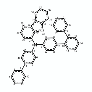 c1ccc(-c2ccc(N(c3ccc(-c4ccccc4-c4ccccc4)cc3)c3ccnc4c3oc3ccccc34)cc2)cc1